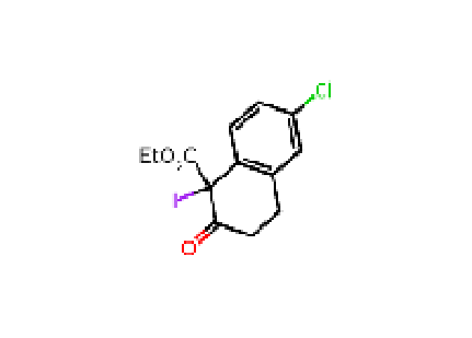 CCOC(=O)C1(I)C(=O)CCc2cc(Cl)ccc21